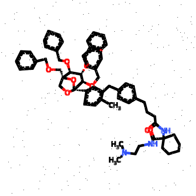 Cc1ccc([C@]23OC[C@](COCc4ccccc4)(O2)[C@@H](OCc2ccccc2)[C@H](OCc2ccccc2)[C@H]3OCc2ccccc2)cc1Cc1ccc(CCCC(=O)NC2(C(=O)NCCN(C)C)CCCCC2)cc1